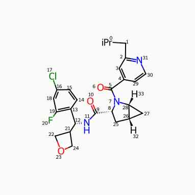 CC(C)Cc1cc(C(=O)N2[C@@H](C(=O)N[C@@H](c3ccc(Cl)cc3F)C3COC3)C[C@H]3C[C@H]32)ccn1